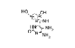 N=C(c1[nH]c(=O)nc(N)c1N)[C@@H]1O[C@H](CO)C[C@H]1O